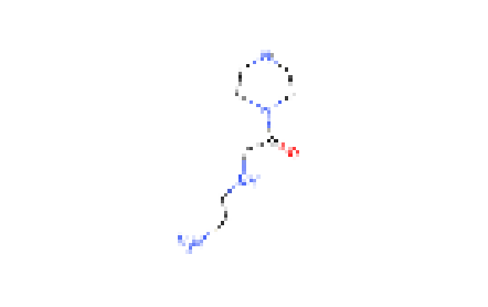 NCCNCC(=O)N1CC[N]CC1